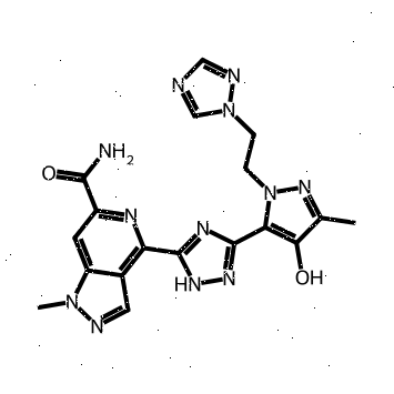 Cc1nn(CCn2cncn2)c(-c2n[nH]c(-c3nc(C(N)=O)cc4c3cnn4C)n2)c1O